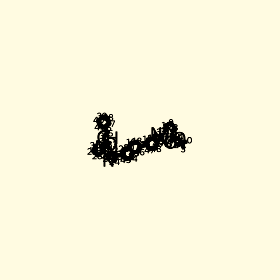 CC(C)(C)OC(=O)N1CCC[C@H]1c1nc2cc(-c3ccc4cc(-c5cnc([C@@H]6CCCN6C(=O)OCc6ccccc6)[nH]5)ccc4c3)ccc2[nH]1